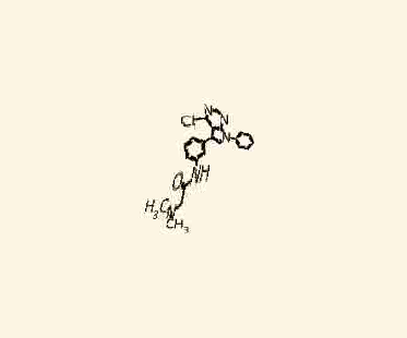 CN(C)CC(=O)Nc1cccc(-c2cn(-c3ccccc3)c3ncnc(Cl)c23)c1